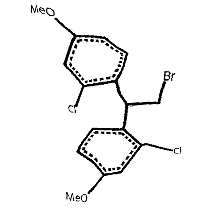 COc1ccc(C(CBr)c2ccc(OC)cc2Cl)c(Cl)c1